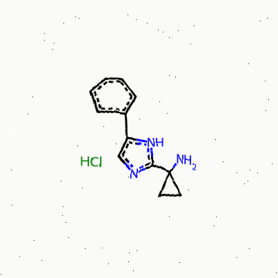 Cl.NC1(c2ncc(-c3ccccc3)[nH]2)CC1